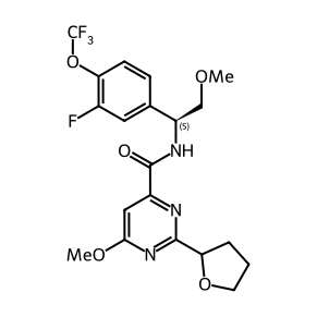 COC[C@@H](NC(=O)c1cc(OC)nc(C2CCCO2)n1)c1ccc(OC(F)(F)F)c(F)c1